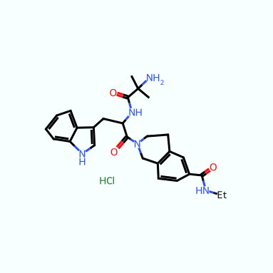 CCNC(=O)c1ccc2c(c1)CCN(C(=O)C(Cc1c[nH]c3ccccc13)NC(=O)C(C)(C)N)C2.Cl